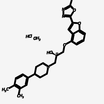 CCc1nnc(-c2cc3c(OC[C@@H](O)CN4CCC(c5ccc(C)c(C)c5)CC4)cccc3o2)o1.Cl.O